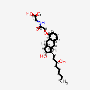 CCCCC[C@H](O)CC[C@@H]1[C@H]2Cc3cccc(OCC(=O)NCC(=O)O)c3C[C@H]2C[C@H]1O